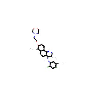 COc1cc(Nc2c(C#N)cnc3c2ccc2c(OC)c(OCCN4CCOCC4)ccc23)c(Cl)cc1Cl